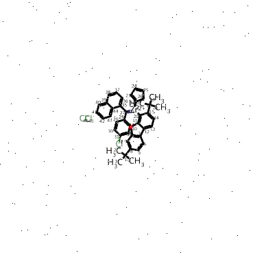 CC(C)(C)c1ccc2c(c1)Cc1c-2ccc(C(C)(C)C)[c]1/[Zr+2]([C]1=CC=CC1)=[C](\c1ccc(Cl)cc1)c1cccc2ccccc12.[Cl-].[Cl-]